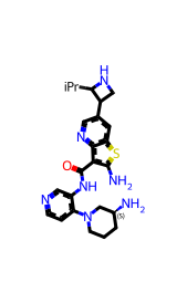 CC(C)C1NCC1c1cnc2c(C(=O)Nc3cnccc3N3CCC[C@H](N)C3)c(N)sc2c1